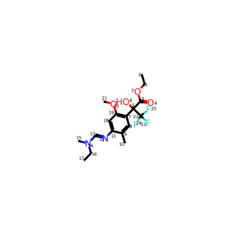 CCOC(=O)C(O)(c1cc(C)c(N=CN(C)CC)cc1OC)C(F)(F)F